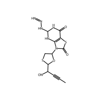 CC#CC(N=O)C1OC(n2c3c(sc2=O)C(=O)NC(NN=N)N3)CS1